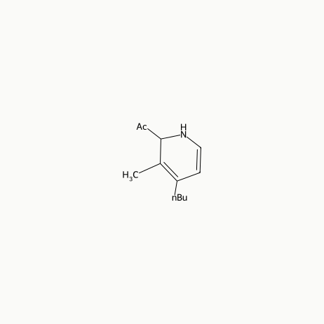 CCCCC1=C(C)C(C(C)=O)NC=C1